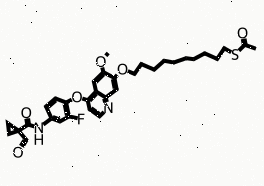 COc1cc2c(Oc3ccc(NC(=O)C4(C=O)CC4)cc3F)ccnc2cc1OCCCCCCCCCCSC(C)=O